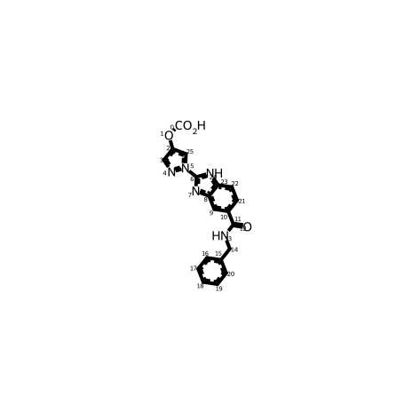 O=C(O)Oc1cnn(-c2nc3cc(C(=O)NCc4ccccc4)ccc3[nH]2)c1